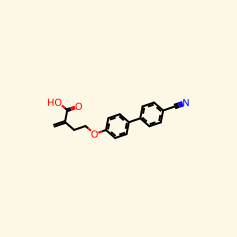 C=C(CCOc1ccc(-c2ccc(C#N)cc2)cc1)C(=O)O